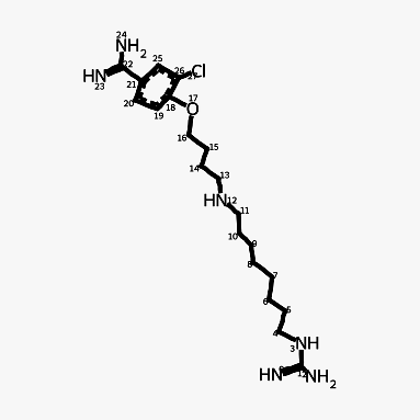 N=C(N)NCCCCCCCCNCCCCOc1ccc(C(=N)N)cc1Cl